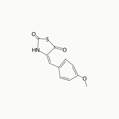 COc1ccc(C=C2NC(=O)SC2=O)cc1